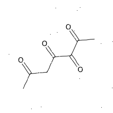 CC(=O)CC(=O)C(=O)C(C)=O